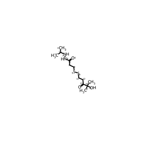 CC(C)NNC(=O)CCSSCCC(=O)C(C)(C)O